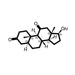 C[C@]12CCC(=O)C[C@@H]1CC[C@H]1[C@@H]3CC[C@H](O)[C@@]3(C)CC(=O)[C@@H]12